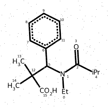 CCN(C(=O)C(C)C)C(c1ccccc1)C(C)(C)C(=O)O